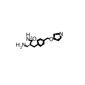 NC[C@H](Cc1ccc(COc2ccncc2)cc1)C(N)=O